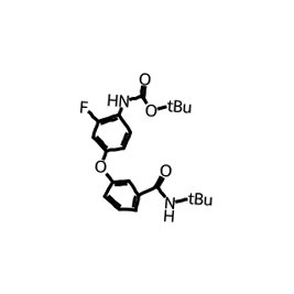 CC(C)(C)NC(=O)c1cccc(Oc2ccc(NC(=O)OC(C)(C)C)c(F)c2)c1